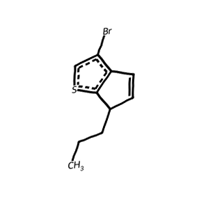 CCCC1C=Cc2c(Br)csc21